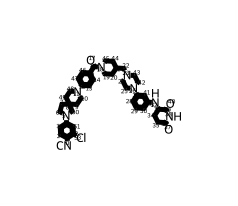 N#Cc1ccc(N2CCC3(CCN(c4ccc(C(=O)N5CCC(CN6CCN(c7cccc(NC8CCC(=O)NC8=O)c7)CC6)CC5)cc4)CC3)C2)cc1Cl